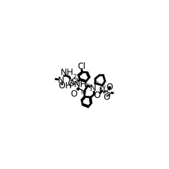 CN(O)C(N)CONC(=O)[C@@H]1c2ccccc2C(=O)N([C@H]2CCCC[C@@H]2N(C)S(C)(=O)=O)[C@H]1c1ccc(Cl)cc1Cl